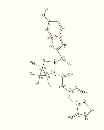 COc1ccc2[nH]c(C(=O)N3C[C@H]4[C@@H]([C@H]3C(=O)N[C@H](C=O)C[C@@H]3CCNC3=O)C4(C)C)cc2c1